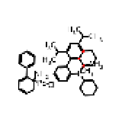 CC(C)c1cc(C(C)C)c(-c2ccccc2P(C2CCCCC2)C2CCCCC2)c(C(C)C)c1.N[C]1([Pd][Cl])CC=CC=C1c1ccccc1